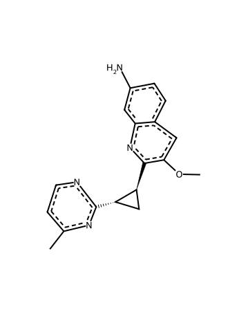 COc1cc2ccc(N)cc2nc1[C@H]1C[C@@H]1c1nccc(C)n1